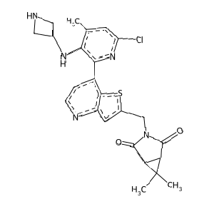 Cc1cc(Cl)nc(-c2ccnc3cc(CN4C(=O)C5C(C4=O)C5(C)C)sc23)c1NC1CNC1